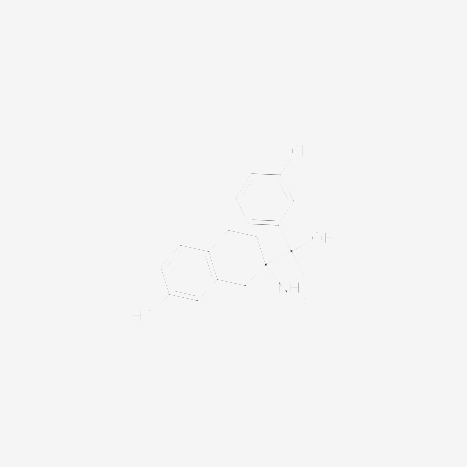 CC(O)(c1cccc(Cl)c1)C1(N)CCc2ccc(O)cc2C1